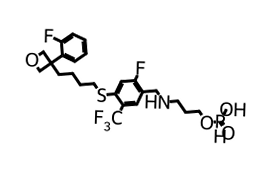 O=[PH](O)OCCCNCc1cc(C(F)(F)F)c(SCCCCC2(c3ccccc3F)COC2)cc1F